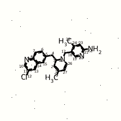 CC1=CC(Cc2ccc3ncc(Cl)cc3c2)N(Cc2cnc(N)cc2C)C=C1